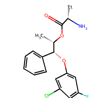 CC[C@H](N)C(=O)O[C@@H](C)[C@H](Oc1cc(F)cc(Cl)c1)c1ccccc1